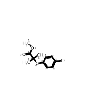 COC(=O)C(C)(C)Oc1ccc(I)cc1